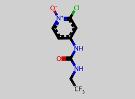 O=C(NCC(F)(F)F)Nc1cc[n+]([O-])c(Cl)c1